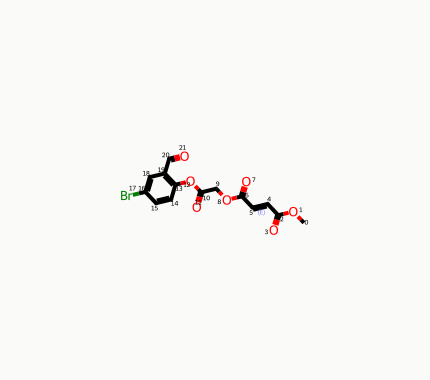 COC(=O)/C=C/C(=O)OCC(=O)Oc1ccc(Br)cc1C=O